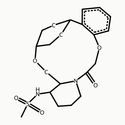 CS(=O)(=O)NC1CCCN2C(=O)COc3ccccc3C3CCC(CC3)OCC12